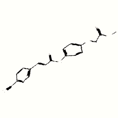 COC(=O)COc1ccc(NC(=O)/C=C/c2ccc(C#N)cc2)cc1